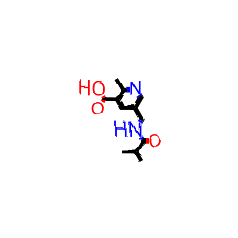 Cc1ncc(CNC(=O)C(C)C)cc1C(=O)O